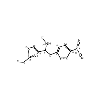 CCc1nc(C(Cc2ccc([N+](=O)[O-])cc2)NC)cs1